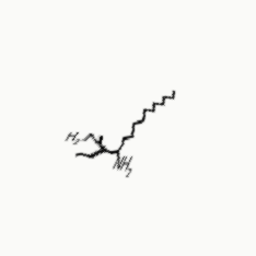 CCCCCCCCCCCC(N)C(N)CC